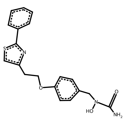 NC(=O)N(O)Cc1ccc(OCCc2csc(-c3ccccc3)n2)cc1